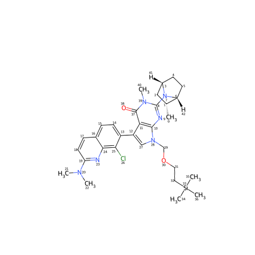 C[C@@H]1C[C@@H]2CC[C@H]1N2c1nc2c(c(-c3ccc4ccc(N(C)C)nc4c3Cl)cn2COCC[Si](C)(C)C)c(=O)n1C